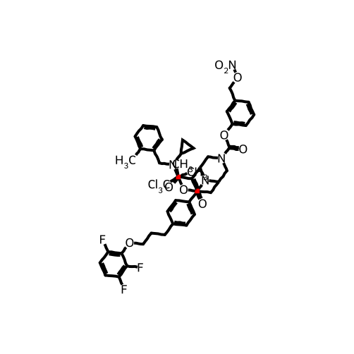 Cc1ccccc1CN(C(=O)C1=C(c2ccc(CCCOc3c(F)ccc(F)c3F)cc2)CC2CN(C(=O)Oc3cccc(CO[N+](=O)[O-])c3)CC1N2C(=O)OC(C)(C)C(Cl)(Cl)Cl)C1CC1